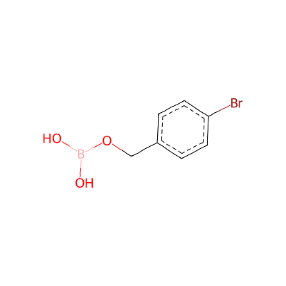 OB(O)OCc1ccc(Br)cc1